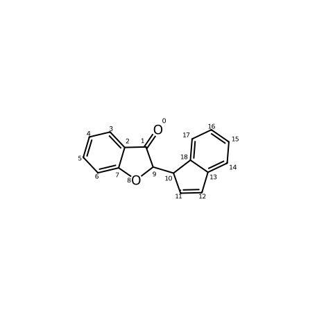 O=C1c2ccccc2OC1C1[C]=Cc2ccccc21